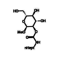 CCCCCCCNC(=O)O[C@H]1[C@@H](OC)O[C@H](CO)[C@@H](O)[C@@H]1O